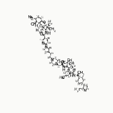 Cc1ncsc1-c1ccc([C@H](C)NC(=O)[C@H]2C[C@@H](O)CN2C(=O)[C@@H](NC(=O)CN2CCN(CCC3CCN(c4ccc(C(=O)N[C@H]5C(C)(C)[C@H](Oc6ccc(C#N)c(Cl)c6)C5(C)C)cn4)C3)CC2)C(C)(C)C)cc1